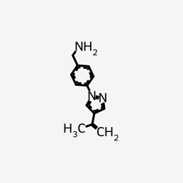 C=C(C)c1cnn(-c2ccc(CN)cc2)c1